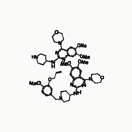 C=CCOc1cc(CN2CCC(Nc3nc(N4CCOCC4)c4cc(OC)c(OC)cc4n3)CC2)ccc1OC.COc1cc2nc(NC3CCNCC3)nc(N3CCOCC3)c2cc1OC